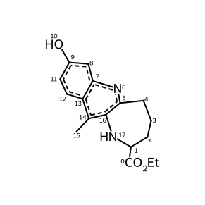 CCOC(=O)C1CCCc2nc3cc(O)ccc3c(C)c2N1